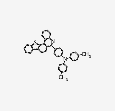 Cc1ccc(N(c2ccc(C)cc2)c2ccc(-c3nc4ccccc4c4c3ccc3c5ccccc5sc34)cc2)cc1